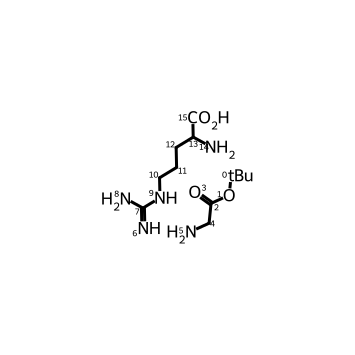 CC(C)(C)OC(=O)CN.N=C(N)NCCCC(N)C(=O)O